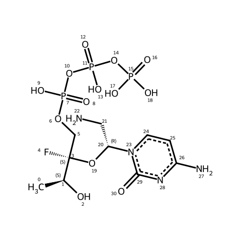 C[C@H](O)[C@@](F)(COP(=O)(O)OP(=O)(O)OP(=O)(O)O)O[C@H](CN)n1ccc(N)nc1=O